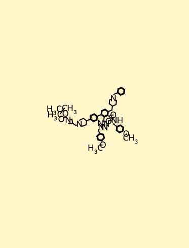 COc1ccc(CNS(=O)(=O)c2c(CC3CCN(Cc4ccccc4)CC3)ccc(-c3ccc(C4CCN(CC5CN(C(=O)OC(C)(C)C)C5)CC4)cc3)c2-c2nnn(Cc3ccc(OC)cc3)n2)cc1